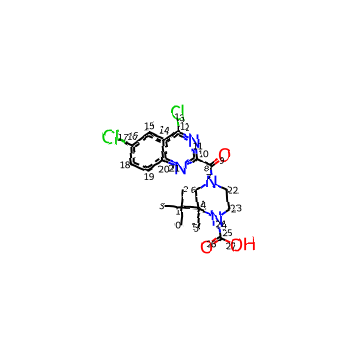 CC(C)(C)C1(C)CN(C(=O)c2nc(Cl)c3cc(Cl)ccc3n2)CCN1C(=O)O